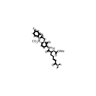 COC(=O)NC(CCC=CC(=O)N(C)C)C(=O)Nc1cccn(Cc2nc3cc(F)ccc3n2C(=O)O)c1=O